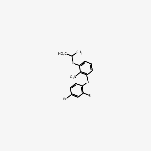 CC(Oc1cccc(Oc2ccc(Br)cc2Br)c1[N+](=O)[O-])C(=O)O